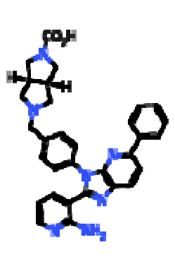 Nc1ncccc1-c1nc2ccc(-c3ccccc3)nc2n1-c1ccc(CN2C[C@@H]3CN(C(=O)O)C[C@@H]3C2)cc1